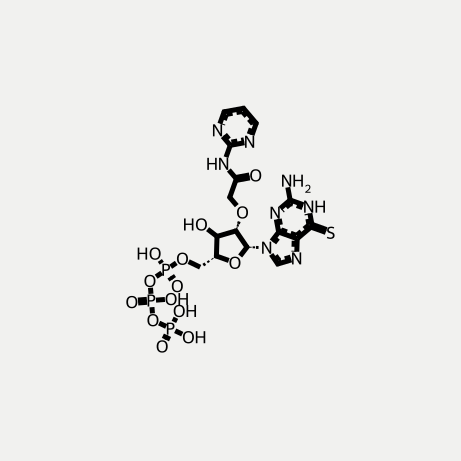 Nc1nc2c(ncn2[C@@H]2O[C@H](COP(=O)(O)OP(=O)(O)OP(=O)(O)O)C(O)[C@@H]2OCC(=O)Nc2ncccn2)c(=S)[nH]1